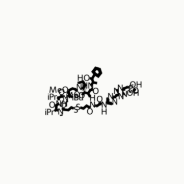 CCC(C)C(C(CC(=O)N1CCC[C@H]1C(OC)C(C)C(=O)NC(C)C(O)c1ccccc1)OC)N(C)C(=O)C(NC(=O)C(C(C)C)N(C)C(=O)CCSSCCC(=O)NCC(=O)Nc1cnc(-c2nnc(CP(=O)(O)O)nn2)nc1)C(C)C